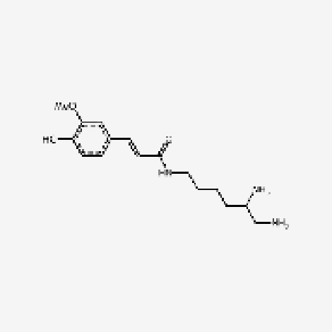 COc1cc(/C=C/C(=O)NCCCCC(N)CN)ccc1O